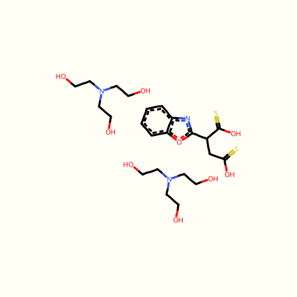 OC(=S)CC(C(O)=S)c1nc2ccccc2o1.OCCN(CCO)CCO.OCCN(CCO)CCO